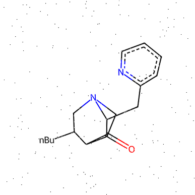 CCCCC1CN2CCC1C(=O)C2Cc1ccccn1